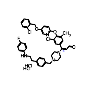 Cc1cc(/C(=C\C=O)N2CCN(Cc3ccc(CCNc4ccc(F)cc4)cc3)CC2)cc(Cl)c1Oc1ccc(OCc2ccccc2Cl)cn1.Cl.Cl